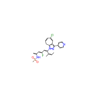 C=C(/C=C(F)/C=C(\C(C)=C/C)n1nc(-c2ccncc2)c2c1CC=CC(Cl)=C2)NS(C)(=O)=O